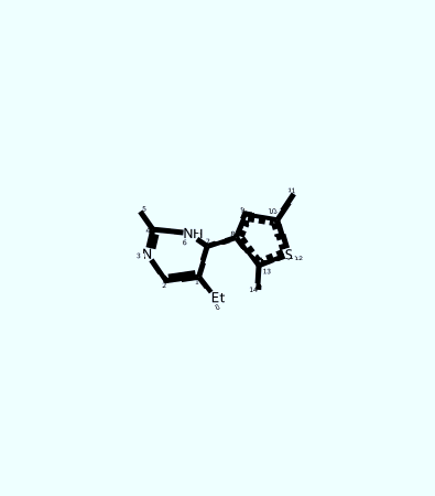 CCC1=CN=C(C)NC1c1cc(C)sc1C